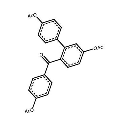 CC(=O)Oc1ccc(C(=O)c2ccc(OC(C)=O)cc2-c2ccc(OC(C)=O)cc2)cc1